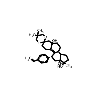 C=Cc1ccc([C@H]2CC3(C)C(CCC3(C)O)C3CCC4(O)CC5(CCC4=C32)OCC(C)(C)CO5)cc1